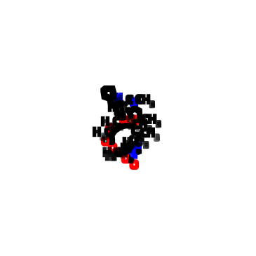 CC[C@H]1OC(=O)C(C)(F)C(=O)[C@H](C)C(O[C@@H]2OC(C)CC(N(C)C)C2C)[C@](C)(OC/C=C/c2cnc3ccccc3c2)C[C@@H](C)CN2CN3C(=O)O[C@@]1(C)[C@H]3[C@H]2C